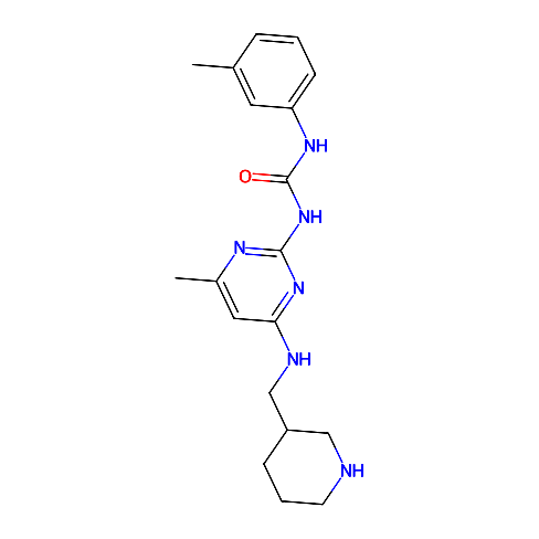 Cc1cccc(NC(=O)Nc2nc(C)cc(NCC3CCCNC3)n2)c1